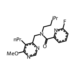 CCCc1c(CN(CCC(C)C)C(=O)c2cccc(F)n2)ncnc1OC